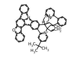 C=CC1(CC)[n+]2ccc(C(C)(C)C)cc2-c2cc3c4c5c(cc6c7ccccc7n(c3cc2C1(CC)CCc1ccccc1-c1cccc[n+]1C)c64)oc1ccccc15